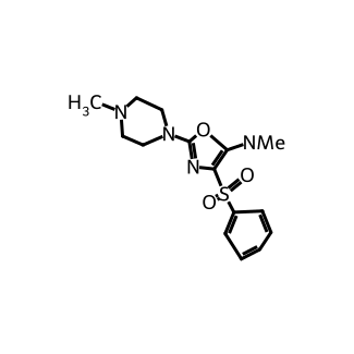 CNc1oc(N2CCN(C)CC2)nc1S(=O)(=O)c1ccccc1